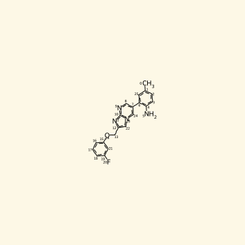 Cc1ccc(N)c(-c2cnc3nc(COc4cccc(F)c4)cn3c2)c1